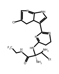 CCC(N)[C@](N)(NC1=NC(C2=CNC3=NC=C(Cl)CC23)=NCC1)C(=O)NCC(F)(F)F